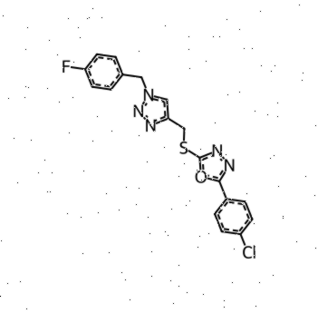 Fc1ccc(Cn2cc(CSc3nnc(-c4ccc(Cl)cc4)o3)nn2)cc1